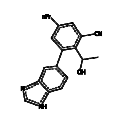 CCCc1cc(C#N)c(C(C)O)c(-c2ccc3[nH]cnc3c2)c1